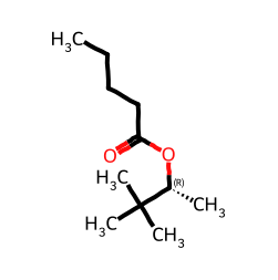 CCCCC(=O)O[C@H](C)C(C)(C)C